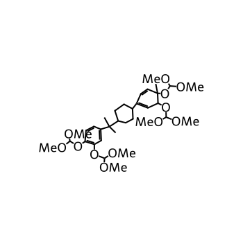 COC(OC)Oc1ccc(C(C)(C)C2CCC(C3=CC(OC(OC)OC)C(C)(OC(OC)OC)C=C3)CC2)cc1OC(OC)OC